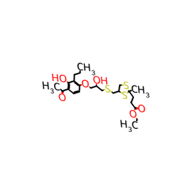 CCCc1c(OCC(O)CSCC2CSC(C)(CCC(=O)OCC)S2)ccc(C(C)=O)c1O